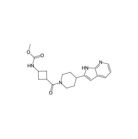 COC(=O)NC1CC(C(=O)N2CCC(c3cc4cccnc4[nH]3)CC2)C1